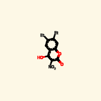 CCc1cc2oc(=O)c([N+](=O)[O-])c(O)c2cc1CC